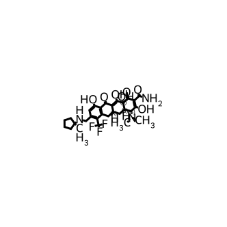 CN(C)[C@@H]1C(O)=C(C(N)=O)C(=O)[C@@]2(O)C(O)=C3C(=O)c4c(O)cc(CNC5(C)CCCC5)c(C(F)(F)F)c4C[C@H]3C[C@@H]12